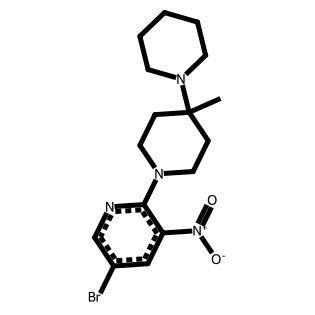 CC1(N2CCCCC2)CCN(c2ncc(Br)cc2[N+](=O)[O-])CC1